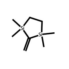 C=C1[Si](C)(C)CC[Si]1(C)C